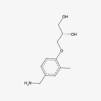 Cc1cc(CN)ccc1OC[C@@H](O)CO